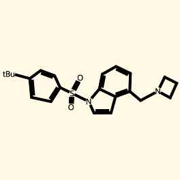 CC(C)(C)c1ccc(S(=O)(=O)n2ccc3c(CN4CCC4)cccc32)cc1